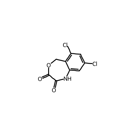 O=C1Nc2cc(Cl)cc(Cl)c2COC1=O